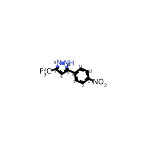 O=[N+]([O-])c1ccc(-c2cc(C(F)(F)F)n[nH]2)cc1